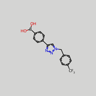 OB(O)c1ccc(-c2cn(Cc3ccc(C(F)(F)F)cc3)nn2)cc1